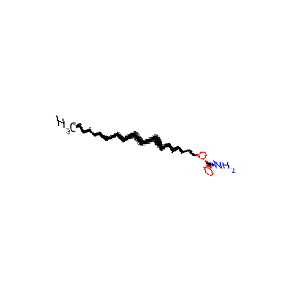 CCCCCC=CCC=CCC=CCC=CCCCOC(N)=O